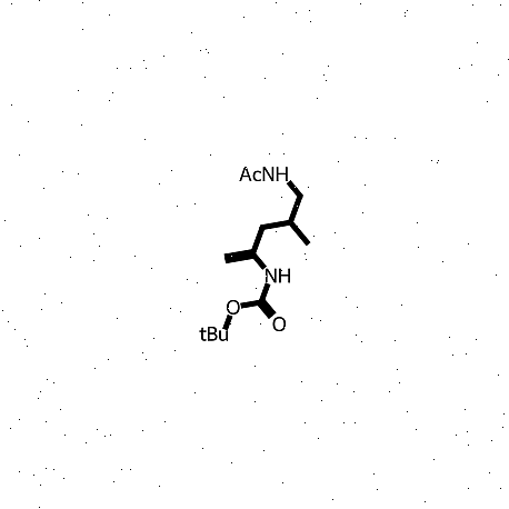 C=C(CC(C)CNC(C)=O)NC(=O)OC(C)(C)C